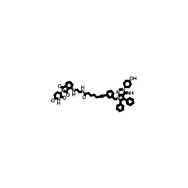 N=c1c2c(-c3ccccc3)c(-c3ccccc3)n(Cc3cccc(C#CCCCCC(=O)NCCNc4cccc5c4C(=O)N(C4CCC(=O)NC4=O)C5=O)c3)c2ncn1C1CCC(O)CC1